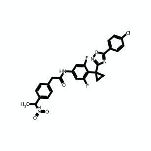 CC(c1ccc(CC(=O)Nc2cc(F)c(C3(c4noc(-c5ccc(Cl)cc5)n4)CC3)c(F)c2)cc1)[SH](=O)=O